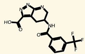 O=C(O)C1=C2CC(NC(=O)c3cccc(C(F)(F)F)c3)CN=C2N=N1